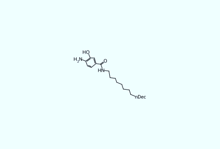 CCCCCCCCCCCCCCCCCCNC(=O)c1ccc(N)c(O)c1